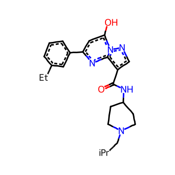 CCc1cccc(-c2cc(O)n3ncc(C(=O)NC4CCN(CC(C)C)CC4)c3n2)c1